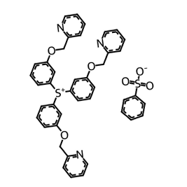 O=S(=O)([O-])c1ccccc1.c1ccc(COc2cccc([S+](c3cccc(OCc4ccccn4)c3)c3cccc(OCc4ccccn4)c3)c2)nc1